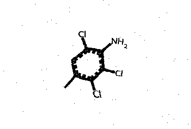 Cc1cc(Cl)c(N)c(Cl)c1Cl